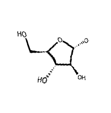 [O][C@H]1O[C@H](CO)[C@@H](O)[C@@H]1O